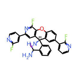 NC(I)c1ccccc1[C@@]1(N)c2cc(-c3cccnc3F)ccc2Oc2c1cc(-c1ccnc(F)c1)nc2F